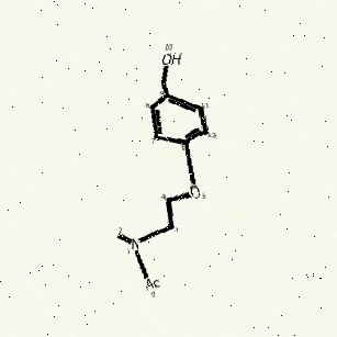 CC(=O)N(C)CCOc1ccc(O)cc1